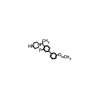 CCOc1cccc(-c2ccc(C(C)N3CCNCC3)c(F)c2)c1